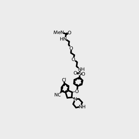 CNC(=O)NCCOCCOCCNS(=O)(=O)c1ccc(O[C@H]2c3cc(Cl)cc(C#N)c3C[C@@H]2N2CCNCC2)cc1